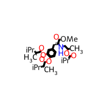 COC(=O)[C@H](Cc1ccc(OC(=O)C(C)C(C)C)c(OC(=O)C(C)C(C)C)c1)NCC(C)OC(=O)C(C)C